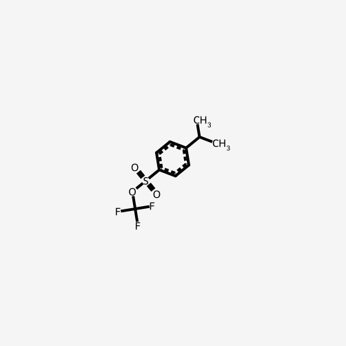 CC(C)c1ccc(S(=O)(=O)OC(F)(F)F)cc1